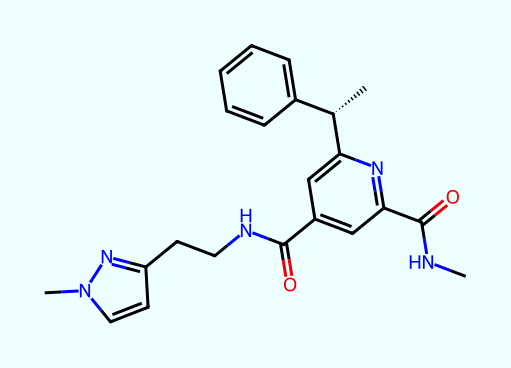 CNC(=O)c1cc(C(=O)NCCc2ccn(C)n2)cc([C@@H](C)c2ccccc2)n1